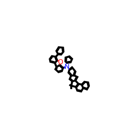 CC1(C)c2cc3cc(N(c4ccccc4)c4cccc5c4oc4c(-c6ccccc6)cccc45)ccc3cc2-c2c1ccc1ccccc21